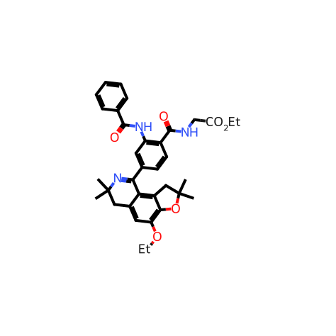 CCOC(=O)CNC(=O)c1ccc(C2=NC(C)(C)Cc3cc(OCC)c4c(c32)CC(C)(C)O4)cc1NC(=O)c1ccccc1